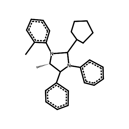 Cc1ccccc1N1C(C2CCCCC2)N(c2ccccc2)C(c2ccccc2)[C@@H]1C